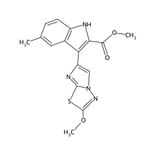 COC(=O)c1[nH]c2ccc(C)cc2c1-c1cn2nc(OC)sc2n1